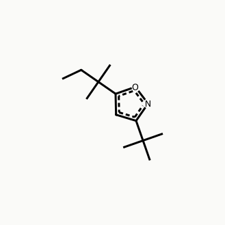 CCC(C)(C)c1cc(C(C)(C)C)no1